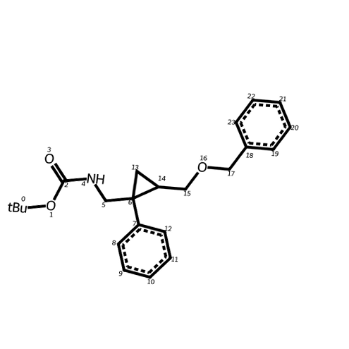 CC(C)(C)OC(=O)NCC1(c2ccccc2)CC1COCc1ccccc1